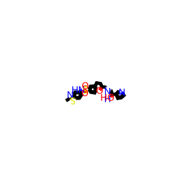 Cc1nc2cc(NS(=O)(=O)c3ccc4c(c3)CCC(CNCC(O)c3cccnc3)O4)ccc2s1